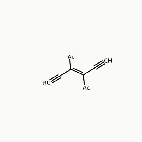 C#CC(C(C)=O)=C(C#C)C(C)=O